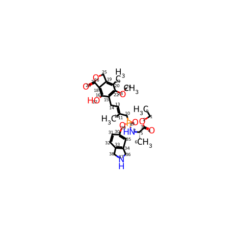 CCOC(=O)[C@H](C)NP(=O)(C/C(C)=C/Cc1c(O)c2c(c(C)c1OC)COC2=O)Oc1ccc2c(c1)CNC2